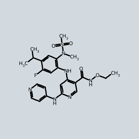 CCONC(=O)c1cnc(Nc2ccncc2)cc1Nc1cc(F)c(C(C)C)cc1N(C)S(C)(=O)=O